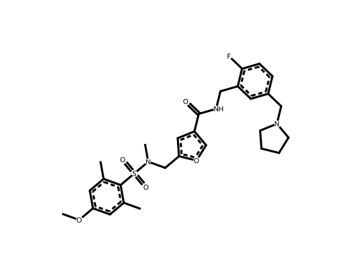 COc1cc(C)c(S(=O)(=O)N(C)Cc2cc(C(=O)NCc3cc(CN4CCCC4)ccc3F)co2)c(C)c1